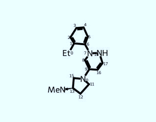 CCc1ccccc1N1C=C(N2CC[C@@H](NC)C2)C=CN1